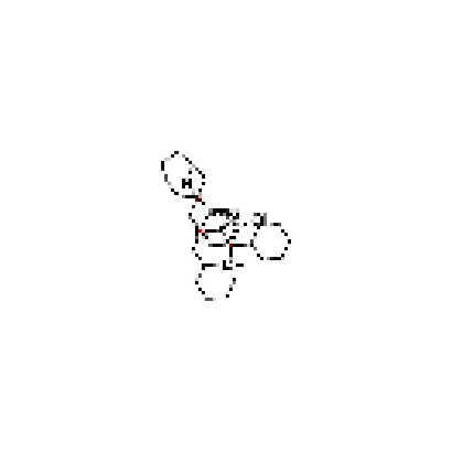 O=C([C@H](O)C1CCCCC1)N(CCN1C2CCC1CC(c1cccc(O)c1)C2)CC1CCCCC1